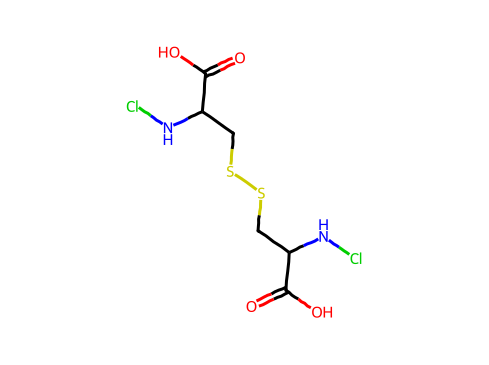 O=C(O)C(CSSCC(NCl)C(=O)O)NCl